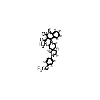 Cn1c(=O)c(C(N)=O)c(N2CCC3(CCN(c4ccc(OC(F)(F)F)cc4)C3)CC2)c2ccccc21